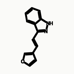 C(=Cc1n[nH]c2ccccc12)c1ccoc1